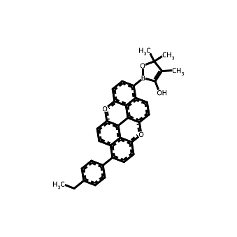 CCc1ccc(-c2ccc3oc4ccc5c(B6OC(C)(C)C(C)=C6O)ccc6oc7ccc2c3c7-c4c65)cc1